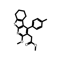 COC(=O)Cc1c(OC)nc2sc3c(c2c1-c1ccc(C)cc1)CCCC3